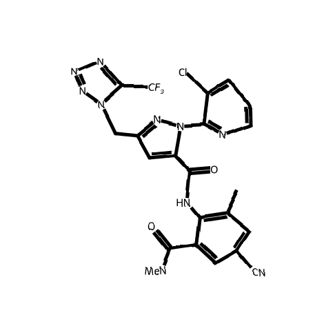 CNC(=O)c1cc(C#N)cc(C)c1NC(=O)c1cc(Cn2nnnc2C(F)(F)F)nn1-c1ncccc1Cl